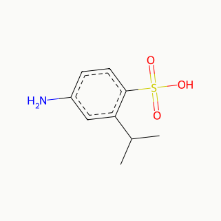 CC(C)c1cc(N)ccc1S(=O)(=O)O